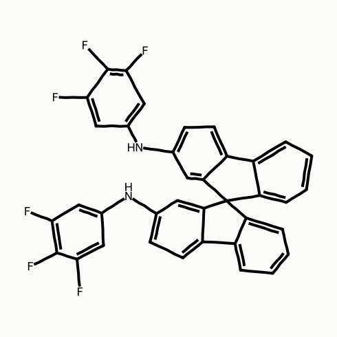 Fc1cc(Nc2ccc3c(c2)C2(c4ccccc4-3)c3ccccc3-c3ccc(Nc4cc(F)c(F)c(F)c4)cc32)cc(F)c1F